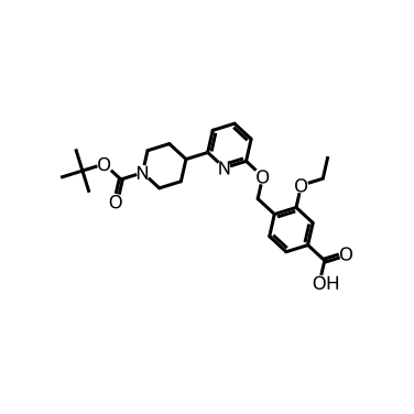 CCOc1cc(C(=O)O)ccc1COc1cccc(C2CCN(C(=O)OC(C)(C)C)CC2)n1